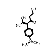 CN(C)c1ccc(C(C(=O)CCO)=C(C#N)C#N)cc1